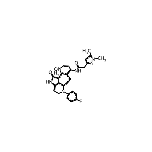 Cc1cc(CC(=O)NC2=c3ccc4c5c([nH]c(=O)c-5c3N(C)C=C2)=CCN4c2ccc(F)cc2)nn1C